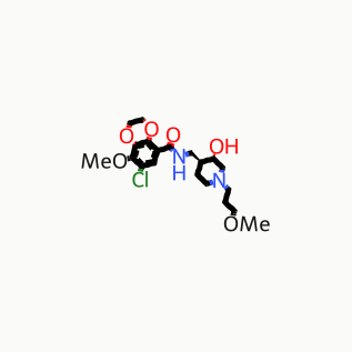 COCCCN1CC[C@@H](CNC(=O)c2cc(Cl)c(OC)c3c2OCCO3)[C@H](O)C1